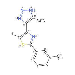 Cc1sc(-c2cccc(C(F)(F)F)c2)nc1-c1nn[nH]c1C#N